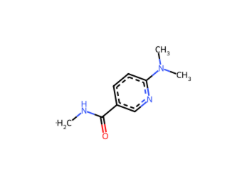 [CH2]NC(=O)c1ccc(N(C)C)nc1